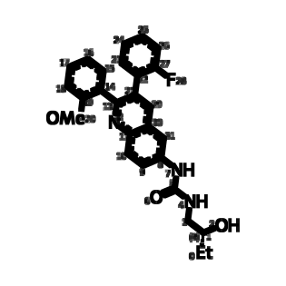 CC[C@@H](O)CNC(=O)Nc1ccc2nc(-c3ccccc3OC)c(-c3ccccc3F)cc2c1